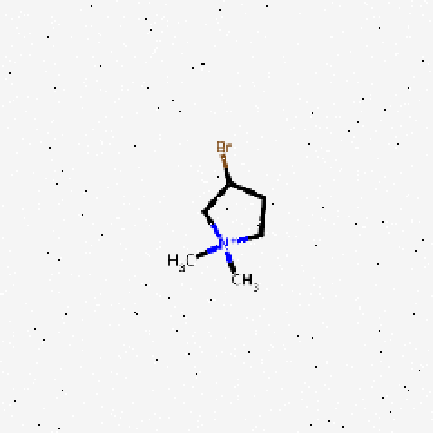 C[N+]1(C)CCC(Br)C1